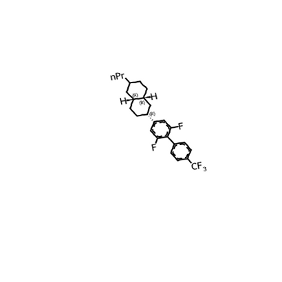 CCCC1CC[C@@H]2C[C@H](c3cc(F)c(-c4ccc(C(F)(F)F)cc4)c(F)c3)CC[C@@H]2C1